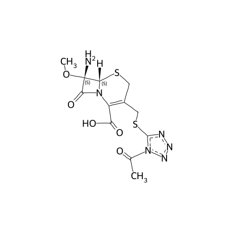 CO[C@@]1(N)C(=O)N2C(C(=O)O)=C(CSc3nnnn3C(C)=O)CS[C@H]21